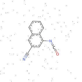 N#Cc1cc(N=C=O)c2ccccc2c1